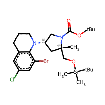 CC(C)(C)OC(=O)N1C[C@@H](N2CCCc3cc(Cl)cc(Br)c32)C[C@@]1(C)CO[Si](C)(C)C(C)(C)C